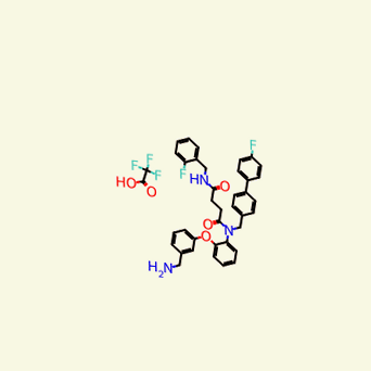 NCc1cccc(Oc2ccccc2N(Cc2ccc(-c3ccc(F)cc3)cc2)C(=O)CCC(=O)NCc2ccccc2F)c1.O=C(O)C(F)(F)F